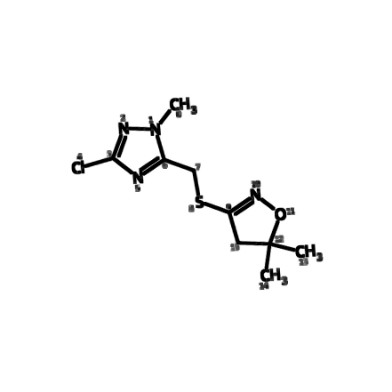 Cn1nc(Cl)nc1CSC1=NOC(C)(C)C1